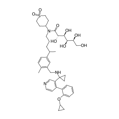 Cc1ccc(C(C)CCCN(C(=O)[C@@H](O)[C@@H](O)[C@H](O)[C@@H](O)CO)C2CCS(=O)(=O)CC2)cc1CNC1(c2cnccc2-c2ccccc2OC2CC2)CC1